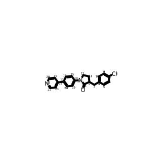 O=C1C(Cc2ccc(Cl)cc2)CCN1c1ccc(-c2ccncc2)cc1